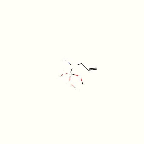 C=CC[SiH](N)[Si](OC)(OC)OC